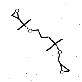 CC(C)(CCCOC(C)(C)C1CO1)OCC1CO1